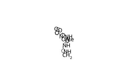 C=C1CCC(CNCc2cccc(Nc3ccc(-c4cccc5c4OCCO5)nc3OC)c2)CN1